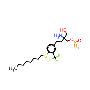 CCCCCCCCSc1ccc(CCC(N)(CO)CO[PH2]=O)cc1C(F)(F)F